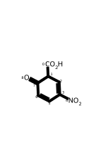 O=C(O)C1C=C([N+](=O)[O-])C=CC1=O